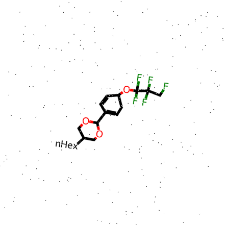 CCCCCCC1COC(C2=CCC(OC(F)(F)C(F)(F)CF)C=C2)OC1